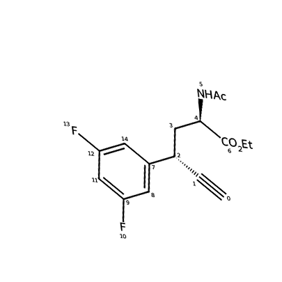 C#C[C@@H](C[C@@H](NC(C)=O)C(=O)OCC)c1cc(F)cc(F)c1